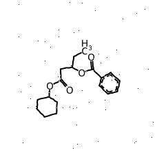 CCC(CC(=O)OC1CCCCC1)OC(=O)c1ccccc1